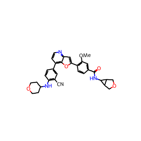 COc1cc(C(=O)NC2C3COCC32)ccc1-c1cc2nccc(-c3ccc(NC4CCOCC4)c(C#N)c3)c2o1